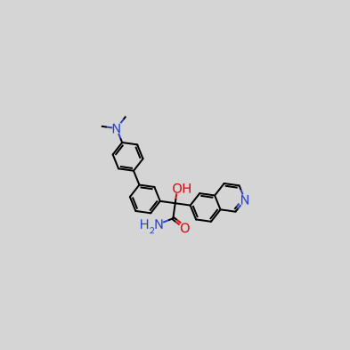 CN(C)c1ccc(-c2cccc(C(O)(C(N)=O)c3ccc4cnccc4c3)c2)cc1